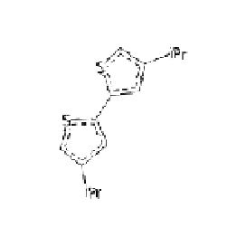 CC(C)c1csc(-c2cc(C(C)C)cs2)c1